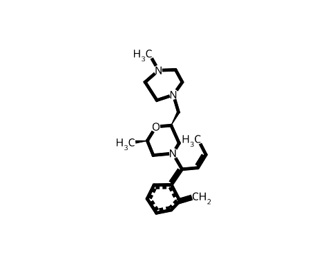 C=c1cccc/c1=C(/C=C\C)N1C[C@H](CN2CCN(C)CC2)O[C@H](C)C1